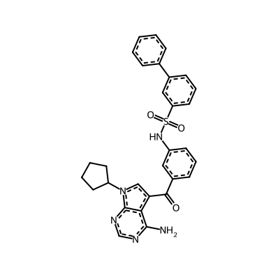 Nc1ncnc2c1c(C(=O)c1cccc(NS(=O)(=O)c3cccc(-c4ccccc4)c3)c1)cn2C1CCCC1